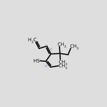 C=C/C=C(\C(S)=C/C)C(C)(C)CC